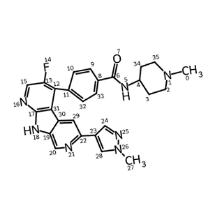 CN1CCC(NC(=O)c2ccc(-c3c(F)cnc4[nH]c5cnc(-c6cnn(C)c6)cc5c34)cc2)CC1